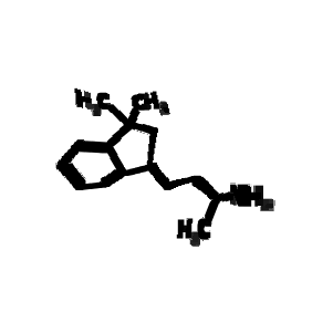 C/C(N)=C\C=C1/CC(C)(C)c2ccccc21